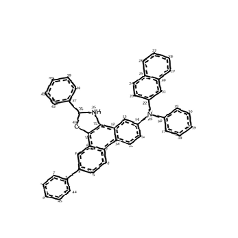 c1ccc(-c2ccc3c(c2)c2c(c4cc(N(c5ccccc5)c5ccc6ccccc6c5)ccc43)NC(c3ccccc3)O2)cc1